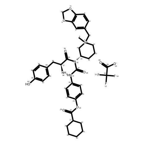 C[N+]1(Cc2ccc3c(c2)OCO3)CCC[C@H](N(C(=O)Nc2ccc(OC(=O)C3CCCCC3)cc2)C(=O)[C@@H](N)Cc2ccc(O)cc2)C1.O=C([O-])C(F)(F)F